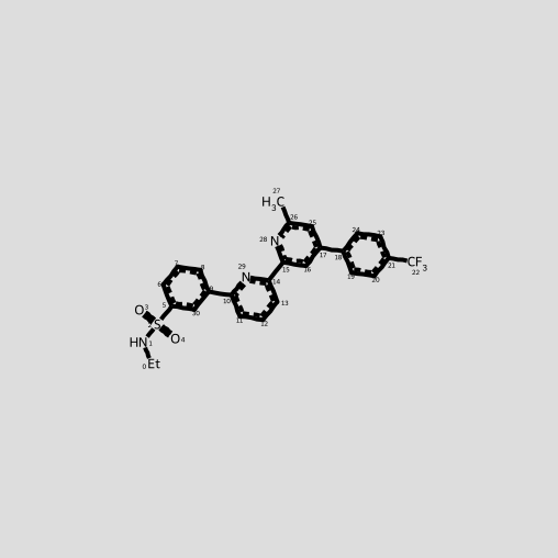 CCNS(=O)(=O)c1cccc(-c2cccc(-c3cc(-c4ccc(C(F)(F)F)cc4)cc(C)n3)n2)c1